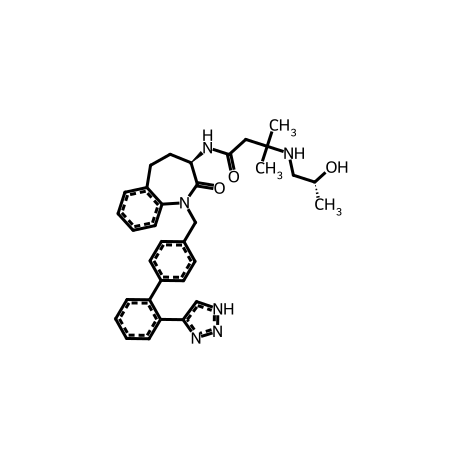 C[C@@H](O)CNC(C)(C)CC(=O)N[C@@H]1CCc2ccccc2N(Cc2ccc(-c3ccccc3-c3c[nH]nn3)cc2)C1=O